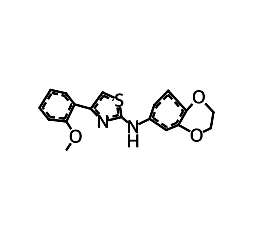 COc1ccccc1-c1csc(Nc2ccc3c(c2)OCCO3)n1